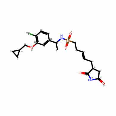 CC(NS(=O)(=O)CC/C=C/CC1CC(=O)NC1=O)c1ccc(F)c(OCC2CC2)c1